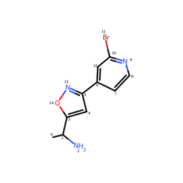 CC(N)c1cc(-c2ccnc(Br)c2)no1